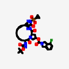 CC(C)(C)OC(=O)NC1CCCCCC=CC2CC2(C(=O)NS(=O)(=O)C2CC2)NC(=O)C2CC(OC(=O)N3Cc4cccc(F)c4C3)CN2C1=O